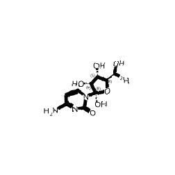 [2H]C(O)[C@H]1O[C@@](O)(n2ccc(N)nc2=O)[C@H](O)[C@@H]1O